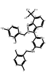 Cc1ccc(C)c(CNc2ccnc(-c3c4cccc(C(F)(F)F)c4nn3Cc3ccc(F)cc3F)c2)c1